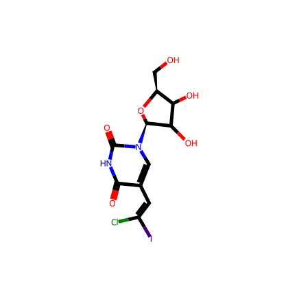 O=c1[nH]c(=O)n([C@H]2O[C@@H](CO)C(O)C2O)cc1/C=C(\Cl)I